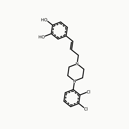 Oc1ccc(C=CCN2CCN(c3cccc(Cl)c3Cl)CC2)cc1O